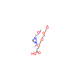 CCOCCN1C=CN(CC)C1.COCCOCCOCCOCCC(=O)O